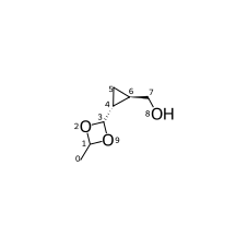 CC1OC([C@@H]2C[C@H]2CO)O1